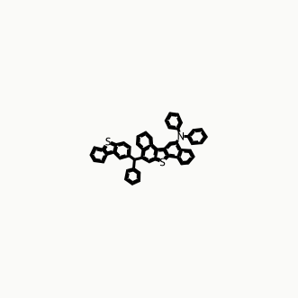 c1ccc(C(c2ccc3sc4ccccc4c3c2)c2cc3sc4c5ccccc5c(N(c5ccccc5)c5ccccc5)cc4c3c3ccccc23)cc1